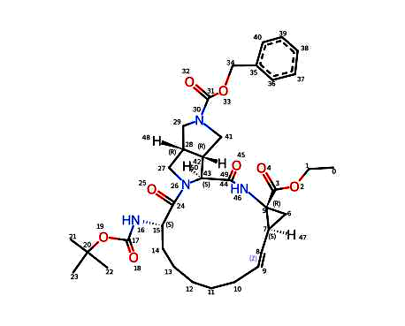 CCOC(=O)[C@@]12C[C@H]1/C=C\CCCCC[C@H](NC(=O)OC(C)(C)C)C(=O)N1C[C@@H]3CN(C(=O)OCc4ccccc4)C[C@@H]3[C@H]1C(=O)N2